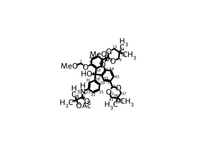 COCOc1ccc(C2OCC(C)(C)CO2)cc1C(O)(c1cccc(NC(=O)C(C)(C)OC(C)=O)c1)c1cc(C2OCC(C)(C)CO2)ccc1OCOC